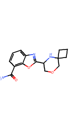 NC(=O)c1cccc2nc(C3COCC4(CCC4)N3)oc12